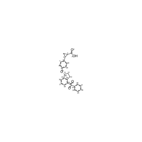 O=C(O)C1CC1c1ccc(O[C@@H]2CCc3c2cccc3S(=O)(=O)c2ccccc2)cc1